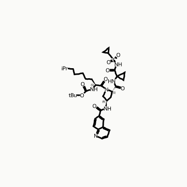 CC(C)CCCCC[C@H](NC(=O)OC(C)(C)C)C(=O)N1C[C@H](NC(=O)c2ccc3ncccc3c2)C[C@H]1C(=O)NC1(C(=O)NS(=O)(=O)C2CC2)CC1